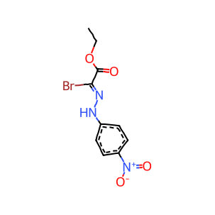 CCOC(=O)C(Br)=NNc1ccc([N+](=O)[O-])cc1